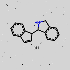 C1=CC(C2NCc3ccccc32)c2ccccc21.[LiH]